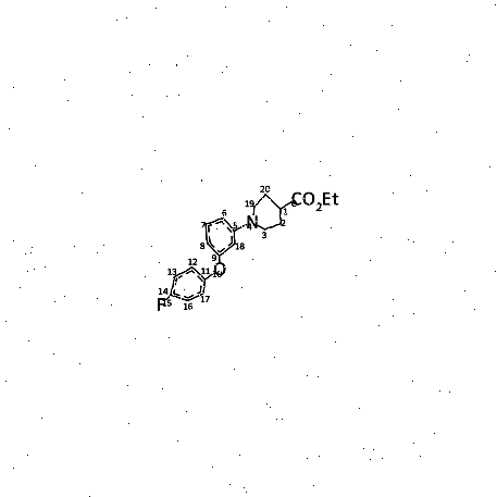 CCOC(=O)C1CCN(c2cccc(Oc3ccc(F)cc3)c2)CC1